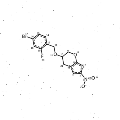 O=[N+]([O-])c1cn2c(n1)OCC(OCc1ccc(Br)cc1F)C2